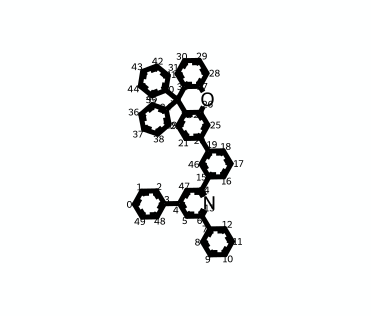 c1ccc(-c2cc(-c3ccccc3)nc(-c3cccc(-c4ccc5c(c4)Oc4ccccc4C5(c4ccccc4)c4ccccc4)c3)c2)cc1